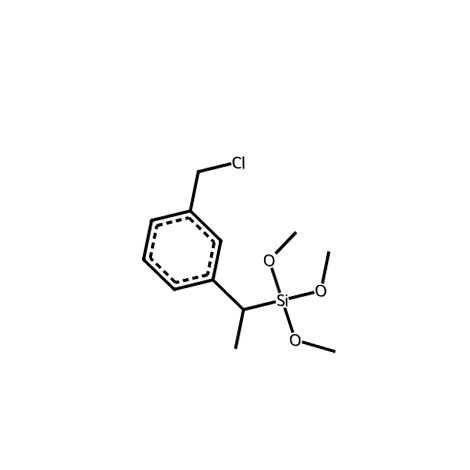 CO[Si](OC)(OC)C(C)c1cccc(CCl)c1